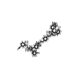 C#Cc1cccc(NCc2nc(-c3ccc4nc(/C=C/c5ccc(NCc6nc(-c7ccc8ncnn8c7)c(-c7cccc(C)n7)[nH]6)cc5)nn4c3)c(-c3cccc(C)n3)[nH]2)c1